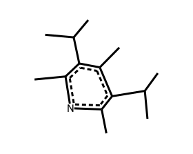 Cc1nc(C)c(C(C)C)c(C)c1C(C)C